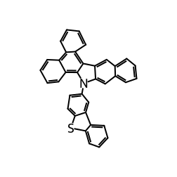 c1ccc2cc3c(cc2c1)c1c2ccccc2c2ccccc2c1n3-c1ccc2sc3ccccc3c2c1